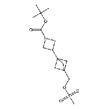 CC(C)(C)OC(=O)N1CC(C23CC(COS(C)(=O)=O)(C2)C3)C1